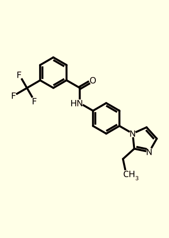 CCc1nccn1-c1ccc(NC(=O)c2cccc(C(F)(F)F)c2)cc1